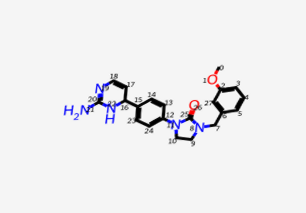 COc1cccc(CN2CCN(c3ccc(C4C=CN=C(N)N4)cc3)C2=O)c1